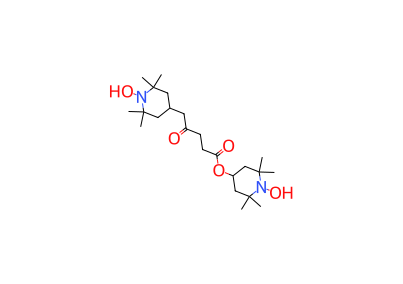 CC1(C)CC(CC(=O)CCC(=O)OC2CC(C)(C)N(O)C(C)(C)C2)CC(C)(C)N1O